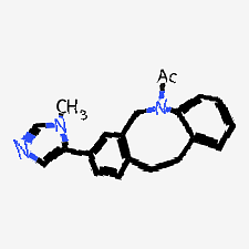 CC(=O)N1Cc2cc(-c3cncn3C)ccc2CCc2ccccc21